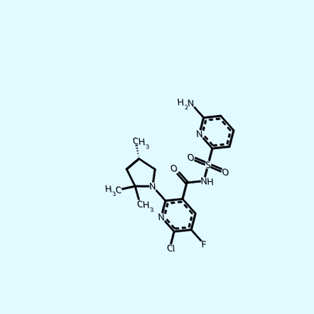 C[C@@H]1CN(c2nc(Cl)c(F)cc2C(=O)NS(=O)(=O)c2cccc(N)n2)C(C)(C)C1